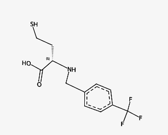 O=C(O)[C@H](CCS)NCc1ccc(C(F)(F)F)cc1